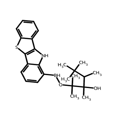 CC(C(C)(C)C)C(C)(O)C(C)(C)OBc1cccc2c1[nH]c1c3ccccc3sc21